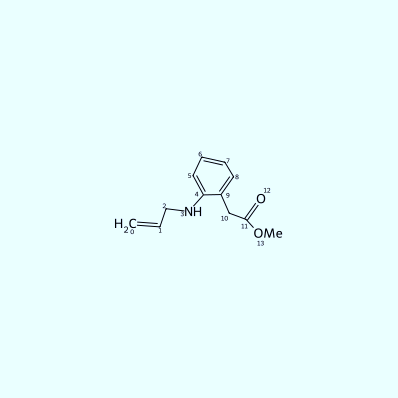 C=CCNc1ccccc1CC(=O)OC